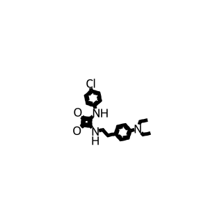 CCN(CC)c1ccc(CCNc2c(Nc3ccc(Cl)cc3)c(=O)c2=O)cc1